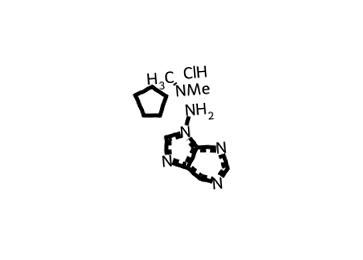 C1CCCC1.CNC.Cl.Nn1cnc2cncnc21